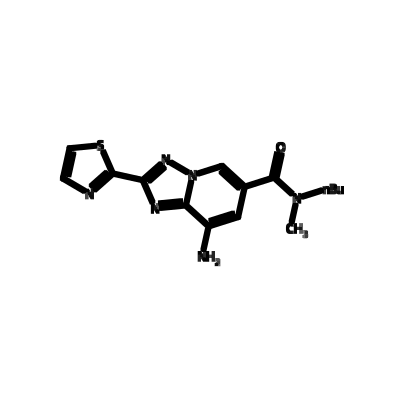 CCCCN(C)C(=O)c1cc(N)c2nc(-c3nccs3)nn2c1